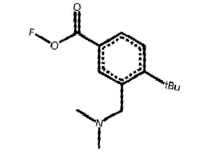 CN(C)Cc1cc(C(=O)OF)ccc1C(C)(C)C